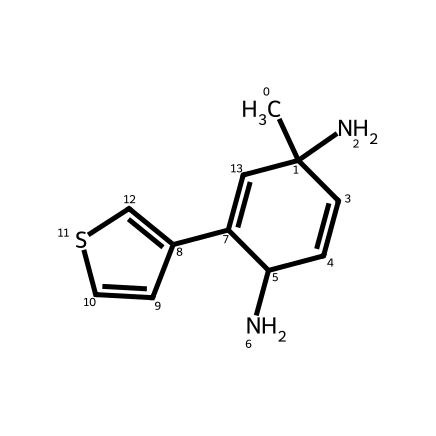 CC1(N)C=CC(N)C(c2ccsc2)=C1